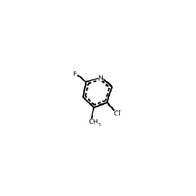 Cc1cc(F)ncc1Cl